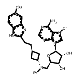 CC(C)N(C[C@H]1O[C@@H](n2c[n+]([O-])c3c(N)ncnc32)[C@H](O)[C@@H]1O)[C@H]1C[C@H](CCc2nc3cc(C(C)(C)C)ccc3[nH]2)C1